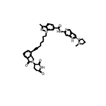 Cc1nn(CCCCCC#Cc2cccc3c2CN(C2CCC(=O)NC2=O)C3=O)c2cc(C(=O)Nc3cc4[nH]c([C@H]5CCCN5C)cc4cn3)ccc12